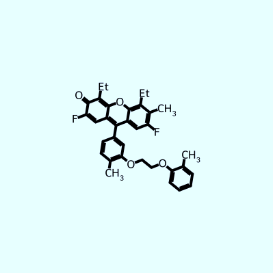 CCc1c2oc3c(CC)c(C)c(F)cc3c(-c3ccc(C)c(OCCOc4ccccc4C)c3)c-2cc(F)c1=O